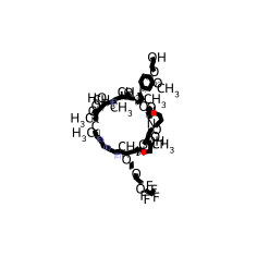 CO[C@@H]1C[C@H](C[C@@H](C)[C@@H]2CC(=O)[C@H](C)/C=C(\C)[C@@H](O)[C@@H](OC)C(=O)[C@H](C)C[C@H](C)/C=C/C=C/C=C(\C)[C@H](OCCOCCOC(F)(F)C(F)(F)F)C[C@@H]3CC[C@@H](C)[C@@](O)(O3)C(=O)C(=O)N3CCCC[C@H]3C(=O)O2)CC[C@H]1OCCO